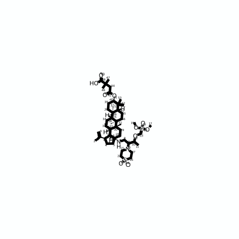 C=C(C)[C@@H]1CC[C@]2(NCC(C(C)OCP(=O)(OC)OC)N3CCS(=O)(=O)CC3)CC[C@]3(C)[C@H](CC[C@@H]4[C@@]5(C)CC[C@H](OC(=O)CC(C)(C)C(=O)O)C(C)(C)[C@@H]5CC[C@]43C)[C@@H]12